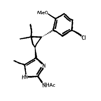 COc1ccc(Cl)cc1[C@@H]1[C@@H](c2nc(NC(C)=O)[nH]c2C)C1(C)C